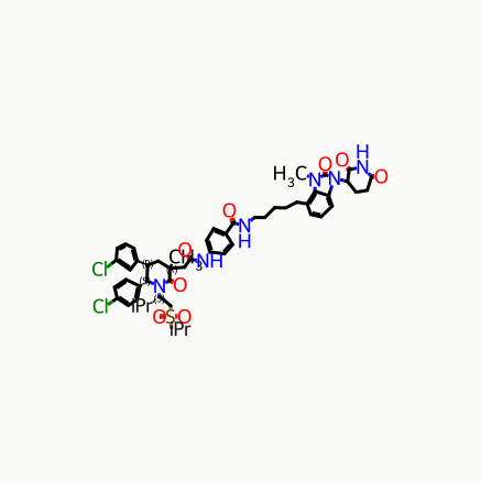 CC(C)[C@@H](CS(=O)(=O)C(C)C)N1C(=O)[C@@](C)(CC(=O)Nc2ccc(C(=O)NCCCCCc3cccc4c3n(C)c(=O)n4C3CCC(=O)NC3=O)cc2)C[C@H](c2cccc(Cl)c2)[C@H]1c1ccc(Cl)cc1